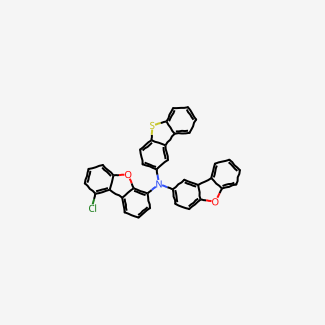 Clc1cccc2oc3c(N(c4ccc5oc6ccccc6c5c4)c4ccc5sc6ccccc6c5c4)cccc3c12